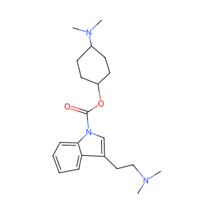 CN(C)CCc1cn(C(=O)OC2CCC(N(C)C)CC2)c2ccccc12